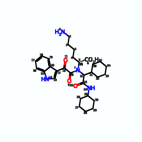 NCCCC[C@H](C(=O)O)N(C(=O)C(=O)c1c[nH]c2ccccc12)C(C(=O)NC1CCCCC1)C1CCCCC1